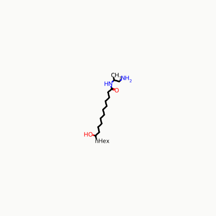 CCCCCCC(O)CCCCCCCCCCC(=O)NC(C)CN